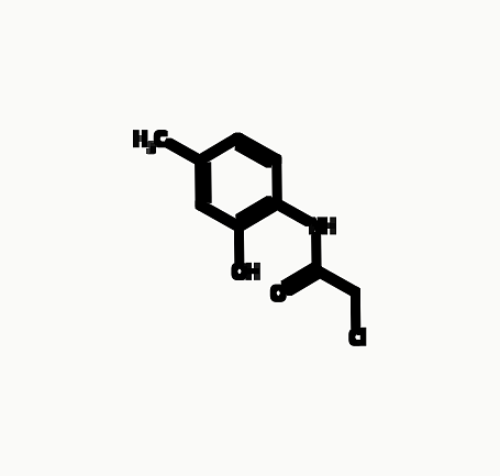 Cc1ccc(NC(=O)CCl)c(O)c1